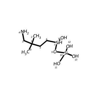 CC(C)(CN)CC[SiH](O)O[Si](O)(O)O